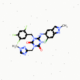 Cn1cnc(Cn2c(=O)[nH]/c(=N\c3cc4cn(C)nc4cc3Cl)n(Cc3cc(F)c(F)cc3F)c2=O)n1